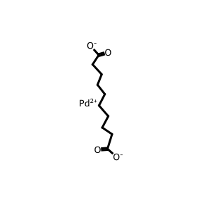 O=C([O-])CCCCCCCCC(=O)[O-].[Pd+2]